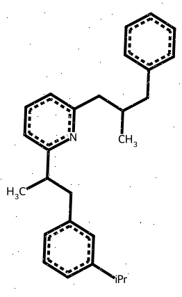 CC(Cc1ccccc1)Cc1cccc(C(C)Cc2cccc(C(C)C)c2)n1